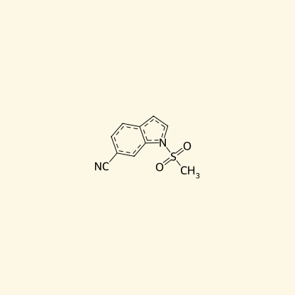 CS(=O)(=O)n1ccc2ccc(C#N)cc21